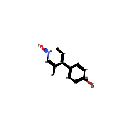 C/C=C(\C(C)=C/N=O)c1ccc(Br)cc1